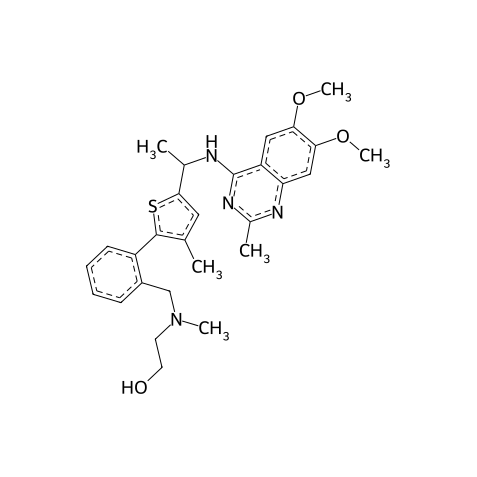 COc1cc2nc(C)nc(NC(C)c3cc(C)c(-c4ccccc4CN(C)CCO)s3)c2cc1OC